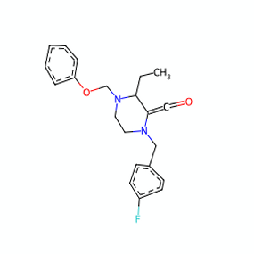 CCC1C(=C=O)N(Cc2ccc(F)cc2)CCN1COc1ccccc1